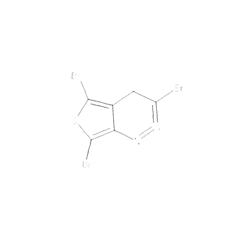 CCC1=S=Nc2c(Br)sc(Br)c2C1